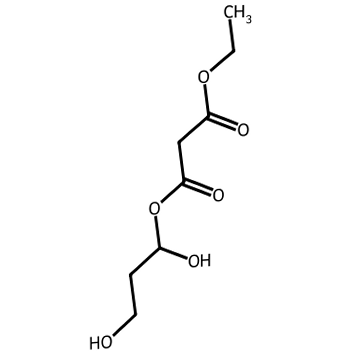 CCOC(=O)CC(=O)OC(O)CCO